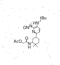 CC(=O)OCC(=O)NC1CC(c2ccc(NCC(C)(C)C)c(N(C)N=O)n2)CCC1(C)C